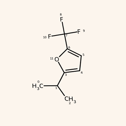 CC(C)c1ccc(C(F)(F)F)o1